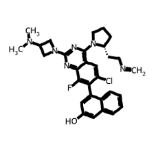 C=NCC[C@H]1CCCN1c1nc(N2CC(N(C)C)C2)nc2c(F)c(-c3cc(O)cc4ccccc34)c(Cl)cc12